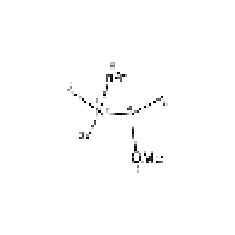 CCC[N+](C)(C)C(C)OC